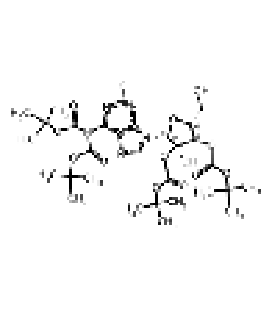 CC(C)(C)OC(=O)O[C@@H]1[C@@H](CO)O[C@@H](n2cnc3c(N(C(=O)OC(C)(C)C)C(=O)OC(C)(C)C)nc(Cl)nc32)[C@]1(C)OC(=O)OC(C)(C)C